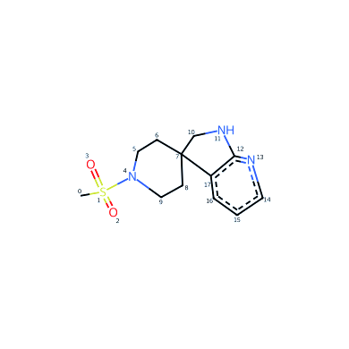 CS(=O)(=O)N1CCC2(CC1)CNc1ncccc12